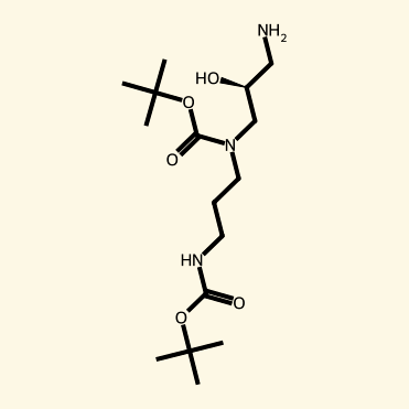 CC(C)(C)OC(=O)NCCCN(C[C@@H](O)CN)C(=O)OC(C)(C)C